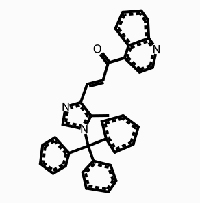 Cc1c(/C=C/C(=O)c2ccnc3ccccc23)ncn1C(c1ccccc1)(c1ccccc1)c1ccccc1